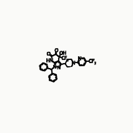 O=C1Nc2c(c(C3CCN(c4ccc(C(F)(F)F)cn4)CC3)nn2C(c2ccccc2)c2ccccc2)C(O)(C(F)(F)F)C1=O